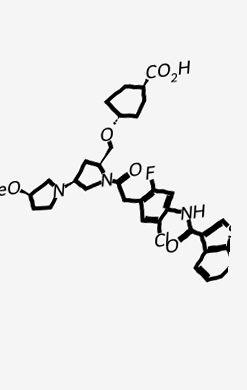 CO[C@@H]1CCN([C@H]2C[C@@H](CO[C@H]3CC[C@H](C(=O)O)CC3)N(C(=O)Cc3cc(Cl)c(NC(=O)c4csc5c4C=CCC5)cc3F)C2)C1